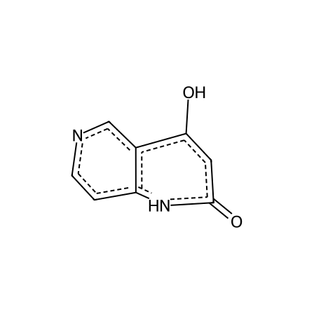 O=c1cc(O)c2cnccc2[nH]1